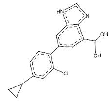 OC(O)c1cc(-c2ccc(C3CC3)cc2Cl)cc2[nH]cnc12